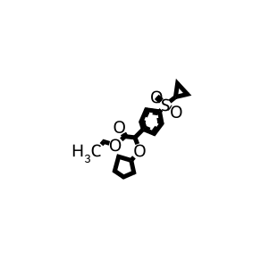 CCOC(=O)C(OC1CCCC1)c1ccc(S(=O)(=O)C2CC2)cc1